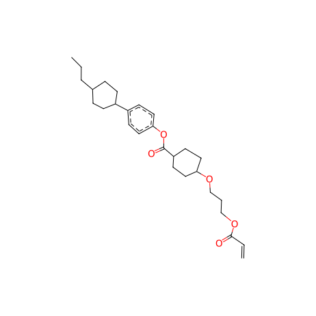 C=CC(=O)OCCCOC1CCC(C(=O)Oc2ccc(C3CCC(CCC)CC3)cc2)CC1